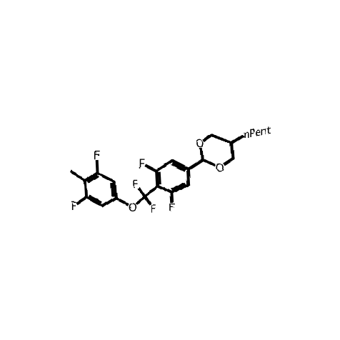 CCCCCC1COC(c2cc(F)c(C(F)(F)Oc3cc(F)c(C)c(F)c3)c(F)c2)OC1